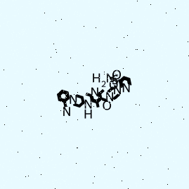 Cc1nc(C)c(C(=O)N2CCN(c3ncccc3S(N)(=O)=O)CC2)c(C)c1NC1CCN(c2ccccc2C#N)CC1